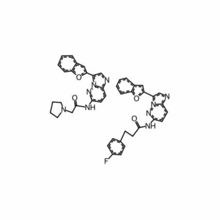 O=C(CCc1ccc(F)cc1)Nc1ccc2ncc(-c3cc4ccccc4o3)n2n1.O=C(CN1CCCC1)Nc1ccc2ncc(-c3cc4ccccc4o3)n2n1